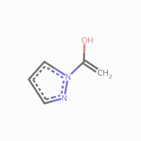 C=C(O)n1cccn1